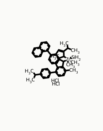 CC1=Cc2c(-c3ccc(C(C)C)cc3)ccc(C)c2[CH]1[Zr]([CH3])([CH3])(=[SiH2])[CH]1C(C(C)C)=Cc2c(-c3cccc4ccccc34)cccc21.Cl.Cl